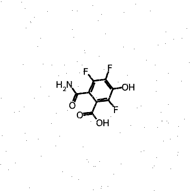 NC(=O)c1c(F)c(F)c(O)c(F)c1C(=O)O